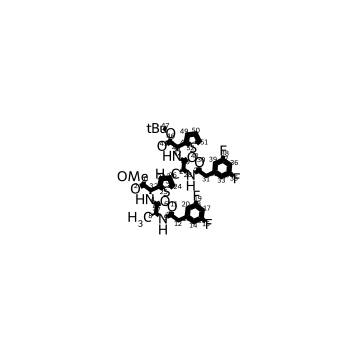 COC(=O)[C@H](NC(=O)[C@H](C)NC(=O)Cc1cc(F)cc(F)c1)c1cccs1.C[C@H](NC(=O)Cc1cc(F)cc(F)c1)C(=O)N[C@@H](C(=O)OC(C)(C)C)c1cccs1